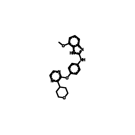 COc1cccc2nc(Nc3ccc(Oc4nccnc4C4CCOCC4)cc3)[nH]c12